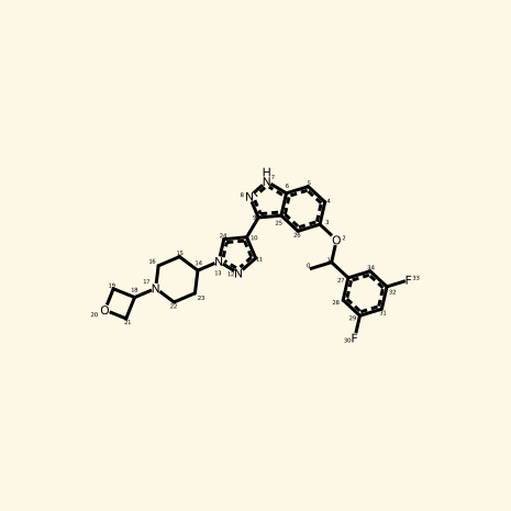 CC(Oc1ccc2[nH]nc(-c3cnn(C4CCN(C5COC5)CC4)c3)c2c1)c1cc(F)cc(F)c1